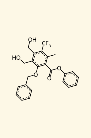 Cc1c(C(=O)Oc2ccccc2)c(OCc2ccccc2)c(CO)c(CO)c1C(F)(F)F